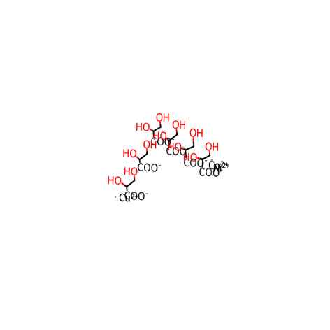 O=C([O-])C(O)CO.O=C([O-])C(O)CO.O=C([O-])C(O)CO.O=C([O-])C(O)CO.O=C([O-])C(O)CO.O=C([O-])C(O)CO.[Co+2].[Cu+2].[Ni+2]